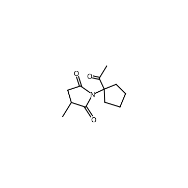 CC(=O)C1(N2C(=O)CC(C)C2=O)CCCC1